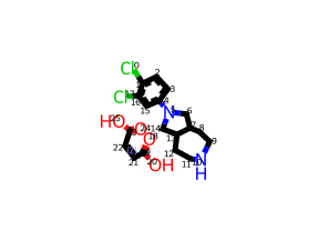 Clc1ccc(N2CC3CCNCCC3C2)cc1Cl.O=C(O)/C=C\C(=O)O